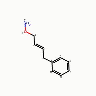 NOCC=CCc1ccccc1